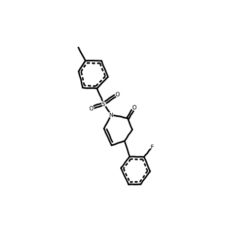 Cc1ccc(S(=O)(=O)N2C=CC(c3ccccc3F)CC2=O)cc1